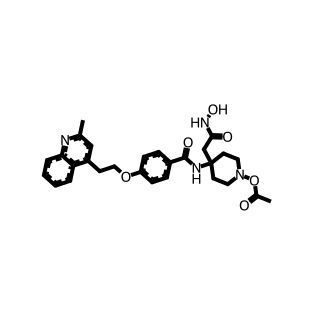 CC(=O)ON1CCC(CC(=O)NO)(NC(=O)c2ccc(OCCc3cc(C)nc4ccccc34)cc2)CC1